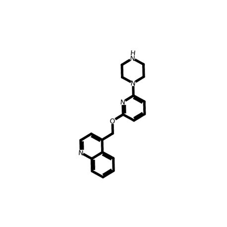 c1cc(OCc2ccnc3ccccc23)nc(N2CCNCC2)c1